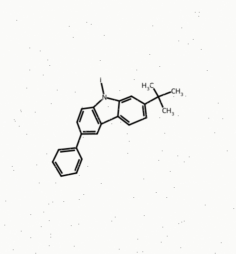 CC(C)(C)c1ccc2c3cc(-c4ccccc4)ccc3n(I)c2c1